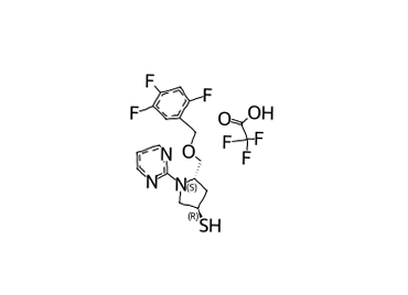 Fc1cc(F)c(COC[C@@H]2C[C@@H](S)CN2c2ncccn2)cc1F.O=C(O)C(F)(F)F